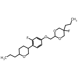 CCCC1CCC(c2ccc(OCC3OCC(F)(CCC)CO3)cc2F)CO1